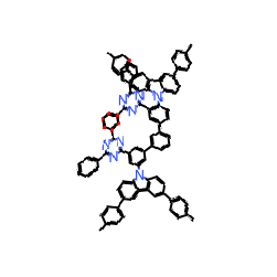 Cc1ccc(-c2ccc3c(c2)c2cc(-c4ccc(C)cc4)ccc2n3-c2cc(-c3cccc(-c4ccc(-n5c6ccc(-c7ccc(C)cc7)cc6c6cc(-c7ccc(C)cc7)ccc65)c(-c5nc(-c6ccccc6)nc(-c6ccccc6)n5)c4)c3)cc(-c3nc(-c4ccccc4)nc(-c4ccccc4)n3)c2)cc1